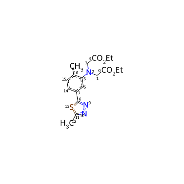 CCOC(=O)CN(CC(=O)OCC)c1cc(-c2nnc(C)s2)ccc1C